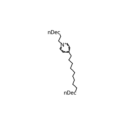 CCCCCCCCCCCCCCCCCCCc1cc[n+](CCCCCCCCCCCC)cc1